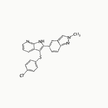 Cn1cc2cc(-c3[nH]c4ncccc4c3Sc3ccc(Cl)cc3)ccc2n1